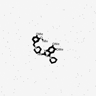 CCCCOc1cc(CN2CCC(Nc3nc(N4CCCCC4)c4cc(OC)c(OC)cc4n3)CC2)ccc1OC